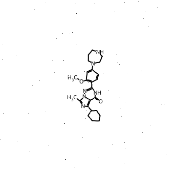 COc1cc(N2CCCNCC2)ccc1-c1nn2c(C)nc(C3CCCCC3)c2c(=O)[nH]1